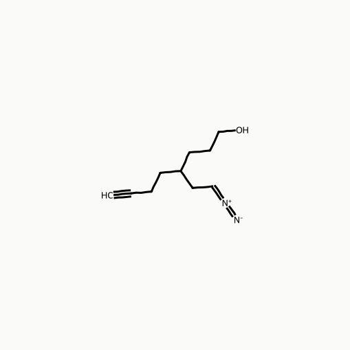 C#CCCC(CC=[N+]=[N-])CCCO